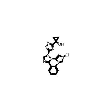 OC1(c2nc(N3CN=C4c5ccccc5N5CN(Cl)C=C5N43)no2)CC1